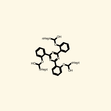 CCCCCCCC(O)Oc1ccccc1-c1nc(-c2ccccc2OC(O)CCCCCCC)nc(-c2ccccc2OC(O)CCCCCCC)n1